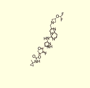 CC1(NC(=O)O[C@@H]2CO[C@H](c3cc(Nc4nccc5nc(CN6CC(OC(F)F)C6)cn45)n[nH]3)[C@H]2F)CC1